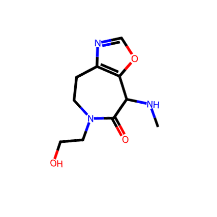 CNC1C(=O)N(CCO)CCc2ncoc21